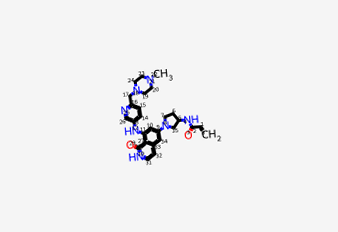 C=CC(=O)NC1CCN(c2cc(Nc3ccc(CN4CCN(C)CC4)nc3)c3c(=O)[nH]ccc3c2)C1